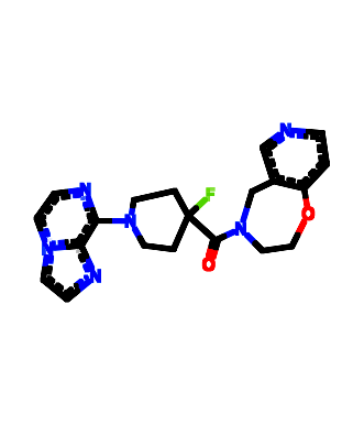 O=C(N1CCOc2ccncc2C1)C1(F)CCN(c2nccn3ccnc23)CC1